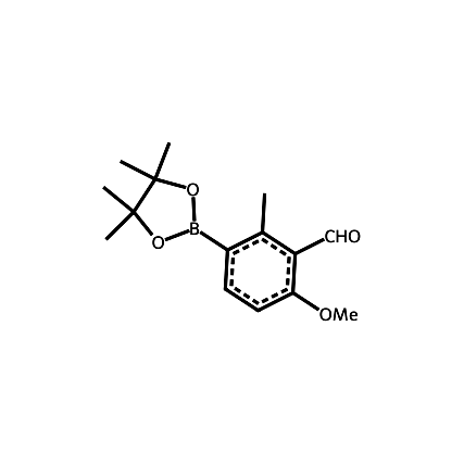 COc1ccc(B2OC(C)(C)C(C)(C)O2)c(C)c1C=O